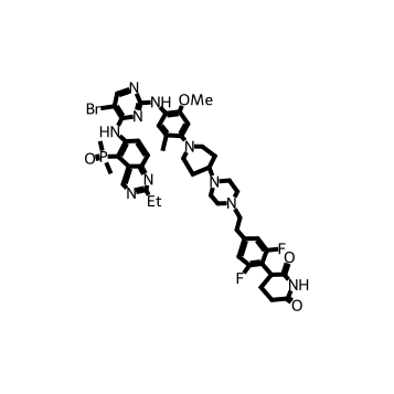 CCc1ncc2c(P(C)(C)=O)c(Nc3nc(Nc4cc(C)c(N5CCC(N6CCN(CCc7cc(F)c(C8CCC(=O)NC8=O)c(F)c7)CC6)CC5)cc4OC)ncc3Br)ccc2n1